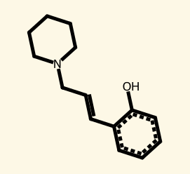 Oc1ccccc1C=CCN1CCCCC1